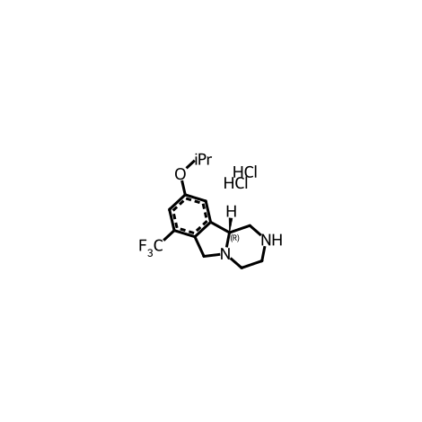 CC(C)Oc1cc2c(c(C(F)(F)F)c1)CN1CCNC[C@@H]21.Cl.Cl